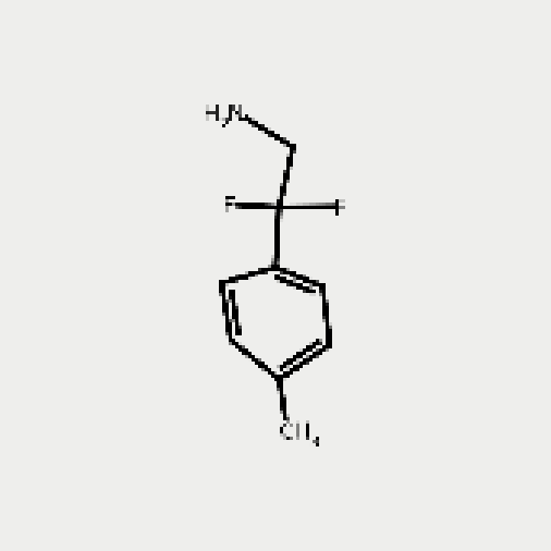 Cc1ccc(C(F)(F)CN)cc1